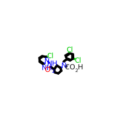 NC1=CC=CC(Cl)N1NC(=O)C1CCCC(N(Cc2cc(Cl)cc(Cl)c2)C(=O)O)C1